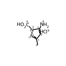 Cc1cc(N)n(C(=O)O)n1.Cl